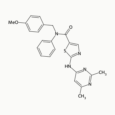 COc1ccc(CN(C(=O)c2cnc(Nc3cc(C)nc(C)n3)s2)c2ccccc2)cc1